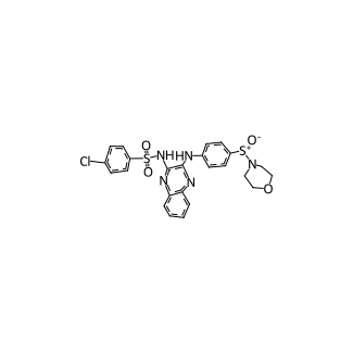 O=S(=O)(Nc1nc2ccccc2nc1Nc1ccc([S+]([O-])N2CCOCC2)cc1)c1ccc(Cl)cc1